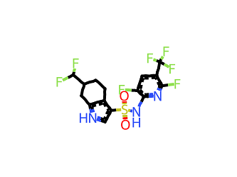 O=S(=O)(Nc1nc(F)c(C(F)(F)F)cc1F)c1c[nH]c2c1CCC(C(F)F)C2